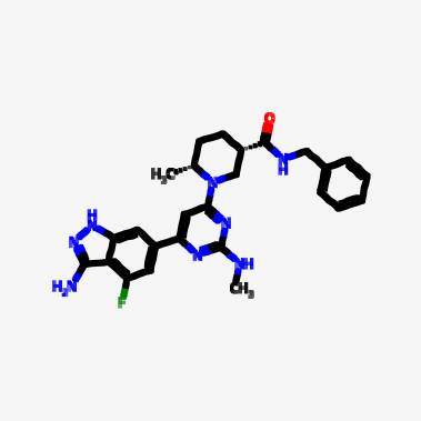 CNc1nc(-c2cc(F)c3c(N)n[nH]c3c2)cc(N2C[C@@H](C(=O)NCc3ccccc3)CC[C@H]2C)n1